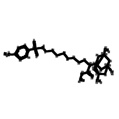 Cc1ccc(S(=O)(=O)OCCCCCCCCN(C(=O)OC(C)(C)C)C23C[C@@H]4C[C@@](C)(C2)C[C@](C)(C4)C3)cc1